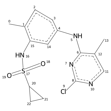 Cc1ccc(Nc2nc(Cl)ncc2C)cc1NS(=O)(=O)C1CC1